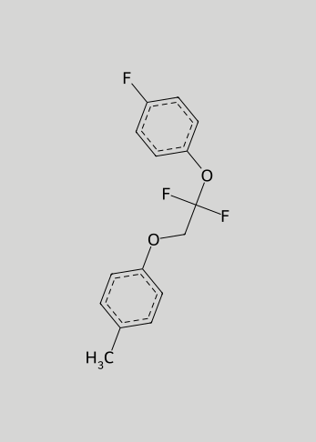 Cc1ccc(OCC(F)(F)Oc2ccc(F)cc2)cc1